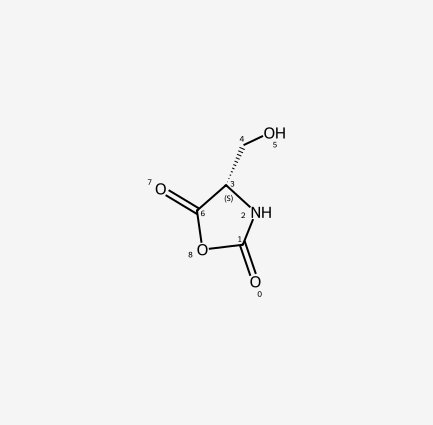 O=C1N[C@@H](CO)C(=O)O1